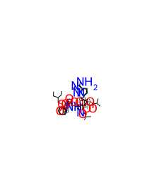 CCC(CC)COC(=O)[C@H](C)N[P@](=O)(OC[C@@]1(C#N)O[C@@H](c2ccc3c(N)ncnn23)[C@H](OC(=O)C(C)C)[C@@H]1OC(=O)C(C)C)Oc1ccccc1